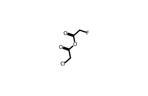 O=C(CF)OC(=O)CCl